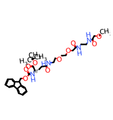 COCC(=O)NCCNC(=O)COCCOCCNC(=O)CC[C@H](NC(=O)OCC1c2ccccc2-c2ccccc21)C(=O)OC(C)(C)C